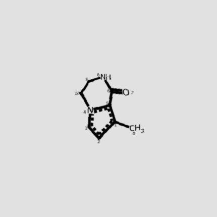 Cc1ccn2c1C(=O)NCC2